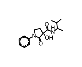 CC(C)C(C)NC(=O)[C@@]1(O)CCN(c2ccccc2)C1=O